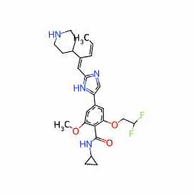 C/C=C\C(=C/c1ncc(-c2cc(OC)c(C(=O)NC3CC3)c(OCC(F)F)c2)[nH]1)C1CCNCC1